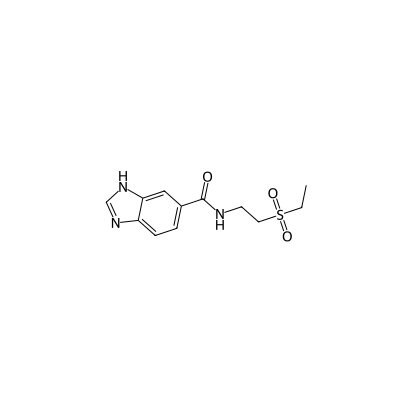 CCS(=O)(=O)CCNC(=O)c1ccc2nc[nH]c2c1